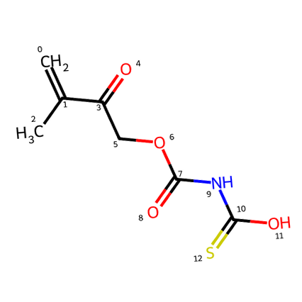 C=C(C)C(=O)COC(=O)NC(O)=S